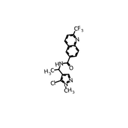 CC(NC(=O)c1ccc2nc(C(F)(F)F)ccc2c1)c1cnn(C)c1Cl